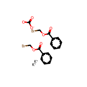 O=C(OCBr)c1ccccc1.O=C(OCBr)c1ccccc1.O=C([O-])[O-].[K+].[K+]